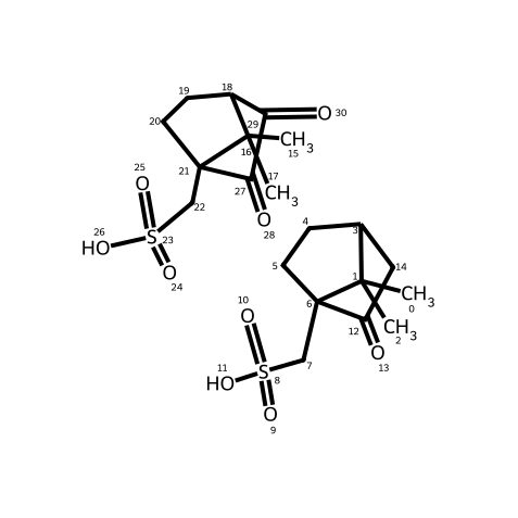 CC1(C)C2CCC1(CS(=O)(=O)O)C(=O)C2.CC1(C)C2CCC1(CS(=O)(=O)O)C(=O)C2=O